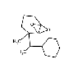 CC(C1CCCCC1)C1(C)CCCC23OC21O3